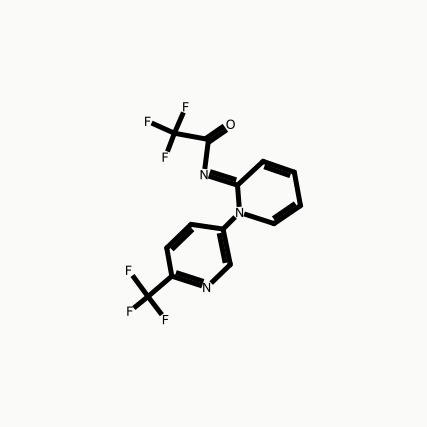 O=C(/N=c1\ccccn1-c1ccc(C(F)(F)F)nc1)C(F)(F)F